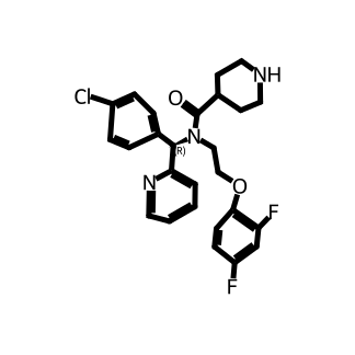 O=C(C1CCNCC1)N(CCOc1ccc(F)cc1F)[C@H](c1ccc(Cl)cc1)c1ccccn1